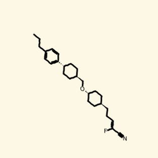 CCCc1ccc([C@H]2CC[C@H](CO[C@H]3CC[C@H](CCC=C(F)C#N)CC3)CC2)cc1